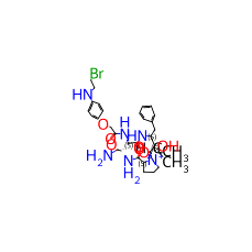 CC(C)(C)[N+]1(C(=O)[C@@H](O)[C@H](Cc2ccccc2)NC(=O)[C@H](CC(N)=O)NC(=O)COc2ccc(NCCBr)cc2)CCC[C@H]1C(N)=O